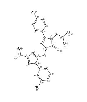 CC(O)c1nc(Cn2cc(-c3ccc(Cl)cc3)n(CC(O)C(F)(F)F)c2=O)n(-c2cccc(C#N)c2)n1